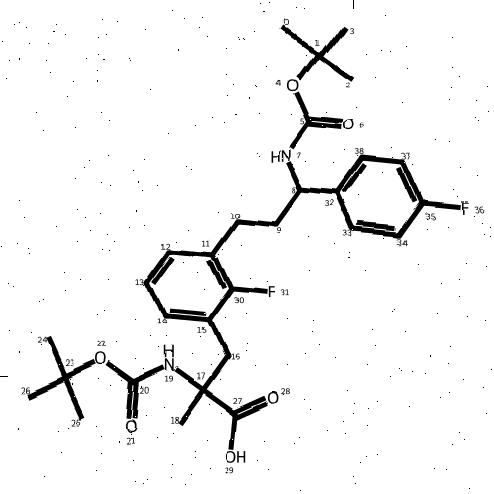 CC(C)(C)OC(=O)NC(CCc1cccc(CC(C)(NC(=O)OC(C)(C)C)C(=O)O)c1F)c1ccc(F)cc1